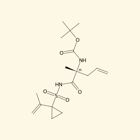 C=CC[C@@](C)(NC(=O)OC(C)(C)C)C(=O)NS(=O)(=O)C1(C(=C)C)CC1